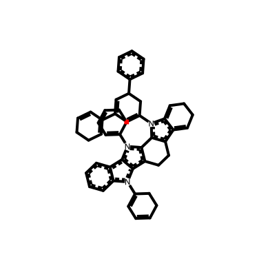 C1=CCCC(n2c3c(c4c2c2ccccc2n4C2=CC=CCC2)CCc2c-3n(C3=CC(C4=CCCC=C4)=CC(c4ccccc4)C3)c3c2=CCCC=3)=C1